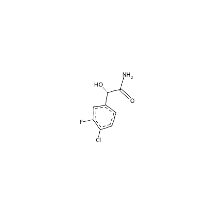 NC(=O)[C@@H](O)c1ccc(Cl)c(F)c1